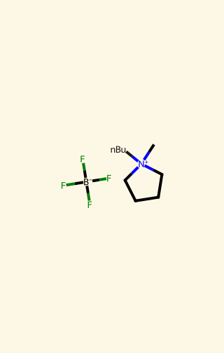 CCCC[N+]1(C)CCCC1.F[B-](F)(F)F